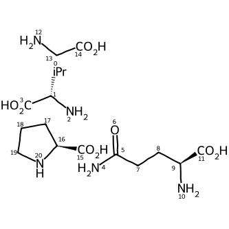 CC(C)[C@H](N)C(=O)O.NC(=O)CC[C@H](N)C(=O)O.NCC(=O)O.O=C(O)[C@@H]1CCCN1